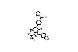 N=C(c1ccc(N2CC3(CC3)c3c(C(N)=O)nn(-c4ccc5c(c4)CCO5)c3C2=O)cc1)N1CCCC1